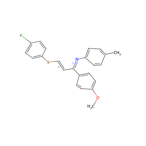 COc1ccc(C(/C=C/Sc2ccc(F)cc2)=N\c2ccc(C)cc2)cc1